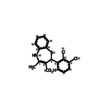 CC1=C(C(=O)O)C(c2cccc(Cl)c2Cl)Sc2ccccc2N1